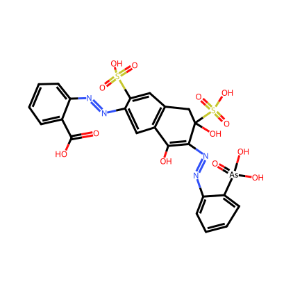 O=C(O)c1ccccc1N=Nc1cc2c(cc1S(=O)(=O)O)CC(O)(S(=O)(=O)O)C(N=Nc1ccccc1[As](=O)(O)O)=C2O